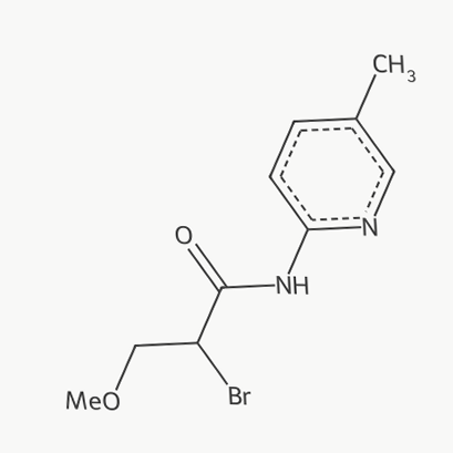 COCC(Br)C(=O)Nc1ccc(C)cn1